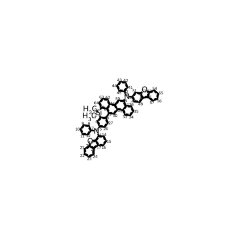 C[Si]1(C)c2cc(N(c3ccccc3)c3cccc4c3oc3ccccc34)ccc2-c2cc3c4ccccc4c(N(c4ccccc4)c4ccc5c(c4)oc4ccccc45)cc3c3cccc1c23